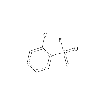 O=S(=O)(F)c1ccccc1Cl